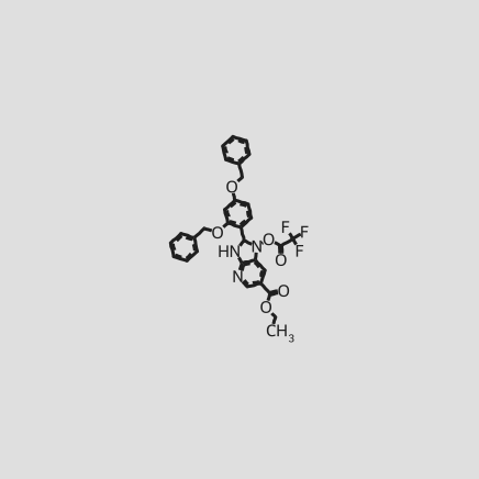 CCOC(=O)c1cnc2c(c1)N(OC(=O)C(F)(F)F)C(c1ccc(OCc3ccccc3)cc1OCc1ccccc1)N2